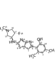 Cc1cc(C)c(-n2cc3sc(N[C@H]4CN(C)C[C@@H]4F)nc3n2)c(O)c1